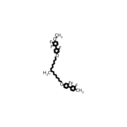 CCOc1ccc(-c2ccc(OCCCCCCCC(C)CCCCCCCOc3ccc(-c4ccc(C)c(F)c4F)c(F)c3)cc2F)c(F)c1F